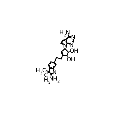 CC1(C)C(N)=Nc2cc(CCC3=C[C@@H](n4ccc5c(N)ncnc54)[C@H](O)[C@@H]3O)ccc21